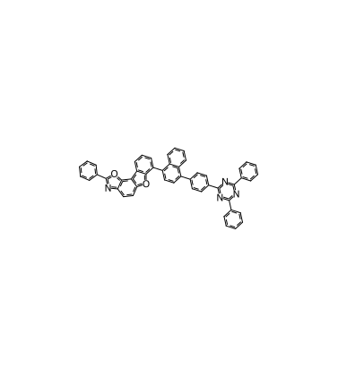 c1ccc(-c2nc(-c3ccccc3)nc(-c3ccc(-c4ccc(-c5cccc6c5oc5ccc7nc(-c8ccccc8)oc7c56)c5ccccc45)cc3)n2)cc1